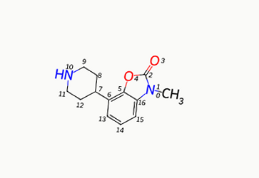 Cn1c(=O)oc2c(C3CCNCC3)cccc21